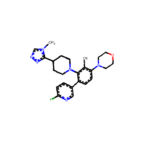 Cn1cnnc1C1CCN(c2c(-c3ccc(F)nc3)ccc(N3CCOCC3)c2C#N)CC1